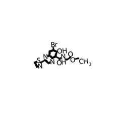 CCOC(=O)CNC(=O)c1c(O)c(Br)cc2nc(-c3nccs3)cnc12